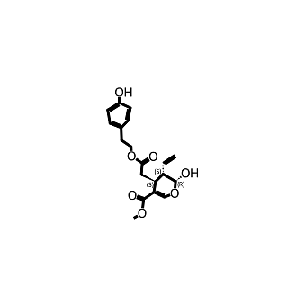 C=C[C@@H]1[C@H](O)OC=C(C(=O)OC)[C@H]1CC(=O)OCCc1ccc(O)cc1